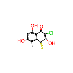 Cc1c(O)cc(O)c2c1C(=S)C(O)=C(Cl)C2=O